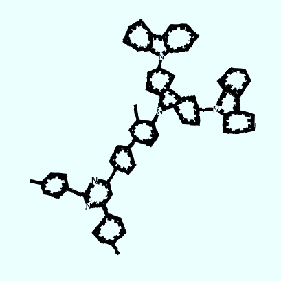 Cc1ccc(-c2cc(-c3ccc(-c4ccc(-n5c6ccc(-n7c8ccccc8c8ccccc87)cc6c6cc(-n7c8ccccc8c8ccccc87)ccc65)c(C)c4)cc3)nc(-c3ccc(C)cc3)n2)cc1